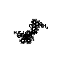 C=C(C=O)C[C@H](O[Si](c1ccccc1)(c1ccccc1)C(C)(C)C)N1CCN(c2snc3c(F)c(-c4cc(OC)cc5ccccc45)c(Cl)cc23)CC1